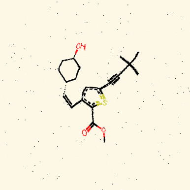 COC(=O)c1sc(C#CC(C)(C)C)cc1/C=C\[C@H]1CC[C@H](O)CC1